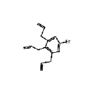 [CH2]Cc1cc(CC=C)c(CC=C)c(CC=C)c1